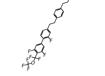 CCCCc1ccc(CCc2ccc(-c3cc(F)c(C(F)(F)OC(F)(F)F)c(F)c3)c(F)c2)cc1